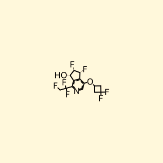 O[C@H]1c2c(C(F)(F)CF)ncc(OC3CC(F)(F)C3)c2[C@@H](F)[C@H]1F